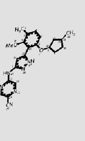 COc1c(C)ccc(O[C@@H]2CC[C@H](C)C2)c1-c1cc(Nc2cnc(C#N)cn2)n[nH]1